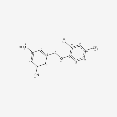 N#CC1C=C(C(=O)O)C=C(COc2ccc(C(F)(F)F)cc2Cl)C1